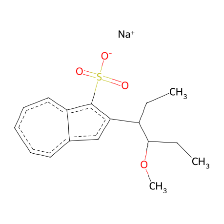 CCC(OC)C(CC)c1cc2cccccc-2c1S(=O)(=O)[O-].[Na+]